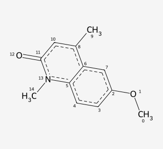 COc1ccc2c(c1)c(C)cc(=O)n2C